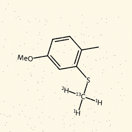 [1H][13C]([1H])([2H])Sc1cc(OC)ccc1C